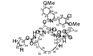 COc1ccc2c(O[C@@H]3C[C@H]4C(=O)N[C@]5(C(=O)NS(=O)(=O)C6CC6)C[C@H]5/C=C\CC[C@H](C)C[C@@H](C)[C@H](NC(=O)O[C@@H]5C[C@@H]6C[C@@H]6C5)C(=O)N4C3)nc(-c3ccc(OC)c(Cl)c3)cc2c1